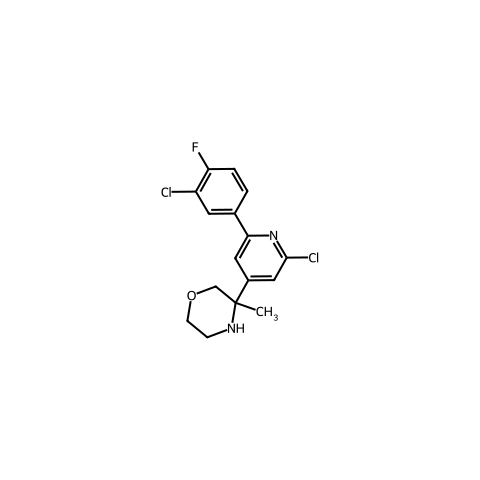 CC1(c2cc(Cl)nc(-c3ccc(F)c(Cl)c3)c2)COCCN1